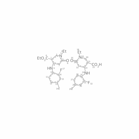 CCOC(=O)c1cn(CC)c(=O)cc1Nc1ccc(I)cc1F.CCn1cc(C(=O)O)c(Nc2ccc(I)cc2F)cc1=O